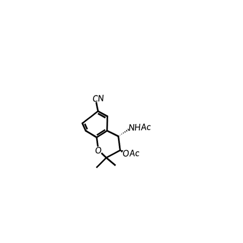 CC(=O)N[C@H]1c2cc(C#N)ccc2OC(C)(C)[C@@H]1OC(C)=O